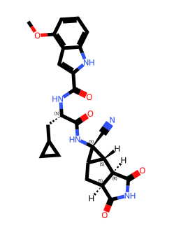 COc1cccc2[nH]c(C(=O)N[C@@H](CC3CC3)C(=O)N[C@@]3(C#N)C4C[C@@H]5C(=O)NC(=O)[C@@H]5[C@H]43)cc12